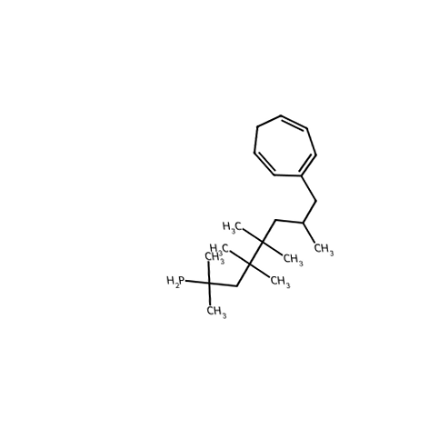 CC(CC1=CC=CCC=C1)CC(C)(C)C(C)(C)CC(C)(C)P